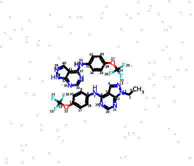 CCn1ncc2c(Nc3ccc(OC(F)(F)F)cc3)ncnc21.FC(F)(F)Oc1ccc(Nc2ncnc3[nH]ncc23)cc1